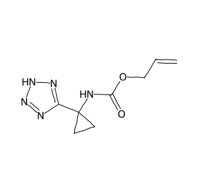 C=CCOC(=O)NC1(c2nn[nH]n2)CC1